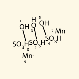 O=S(=O)(O)O.O=S(=O)(O)O.O=S(=O)(O)O.[Mn].[Mn]